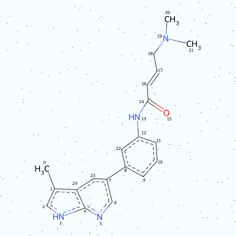 Cc1c[nH]c2ncc(-c3cccc(NC(=O)C=CCN(C)C)c3)cc12